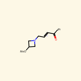 COC1CN(C/C=C/C(=O)C(C)C)C1